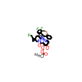 COC(=O)OCOc1c2n(ccc1=O)N([C@@H]1c3ccccc3SCc3c1ccc(F)c3F)[C@@H]1CCC3(CC3CF)CN1C2=O